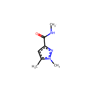 [CH2]NC(=O)c1cc(C)n(C)n1